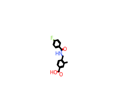 Cc1cc(C(=O)O)ccc1CNC(=O)c1ccc(F)cc1